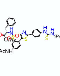 COC(=O)[C@H](Cc1ccccc1)NS(=O)(=O)c1cc(NC(C)=O)ccc1-c1cnc(-c2ccc(NC(=S)NC(C)C)cc2)s1